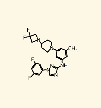 Cc1cc(Nc2ncn(-c3cc(F)cc(F)c3)n2)cc(N2CCC(N3CC(F)(F)C3)CC2)c1